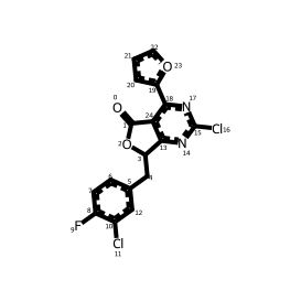 O=C1OC(Cc2ccc(F)c(Cl)c2)c2nc(Cl)nc(-c3ccco3)c21